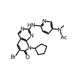 CC(=O)N(C)c1ccc(Nc2ncc3cc(Br)c(=O)n(C4CCCC4)c3n2)nc1